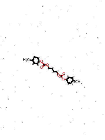 Cc1ccc(OC(=O)OCCCCOC(=O)Oc2ccc(C)cc2)cc1